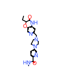 CCC1Oc2cnc(CN3CCN(c4ccc(C(=O)NC)nc4)CC3)cc2NC1=O